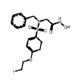 O=C(CN(Cc1ccccc1)S(=O)(=O)C1=CC=C(OCCF)CC1)NO